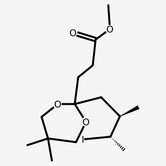 COC(=O)CCC1(C[C@@H](C)[C@H](C)I)OCC(C)(C)CO1